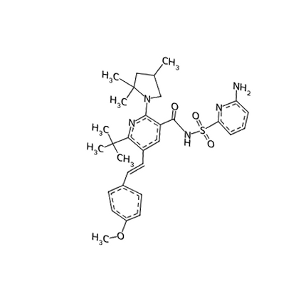 COc1ccc(/C=C/c2cc(C(=O)NS(=O)(=O)c3cccc(N)n3)c(N3CC(C)CC3(C)C)nc2C(C)(C)C)cc1